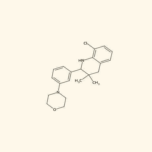 CC1(C)Cc2cccc(Cl)c2NC1c1cccc(N2CCOCC2)c1